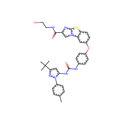 Cc1ccc(-n2nc(C(C)(C)C)cc2NC(=O)Nc2ccc(Oc3ccc4sc5nc(C(=O)NCCO)cn5c4c3)cc2)cc1